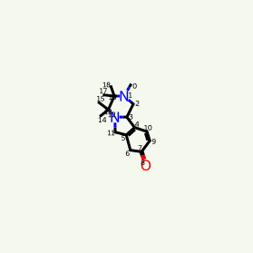 CN1CC2C3=C(CC(=O)C=C3)CN2C(C)(C)C1(C)C